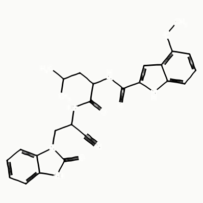 COc1cccc2[nH]c(C(=O)NC(CC(C)C)C(=O)NC(C#N)Cn3c(=O)[nH]c4ccccc43)cc12